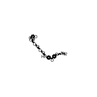 [N-]=[N+]=NCCCOc1ccc(C(=O)c2ccc(NCCOCCOCCOCCOCCC(=O)ON3C(=O)CCC3=O)cc2)cc1